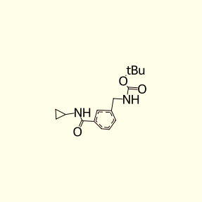 CC(C)(C)OC(=O)NCc1cccc(C(=O)NC2CC2)c1